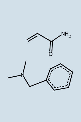 C=CC(N)=O.CN(C)Cc1ccccc1